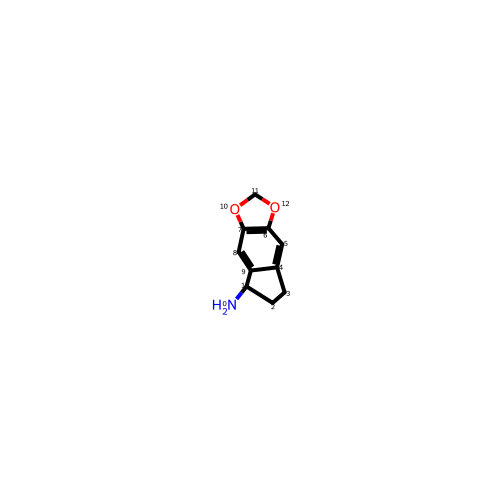 NC1CCc2cc3c(cc21)OCO3